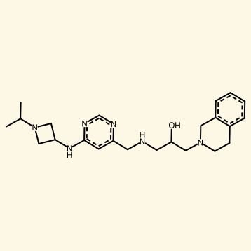 CC(C)N1CC(Nc2cc(CNCC(O)CN3CCc4ccccc4C3)ncn2)C1